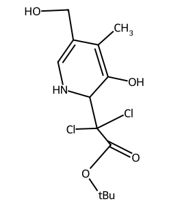 CC1=C(O)C(C(Cl)(Cl)C(=O)OC(C)(C)C)NC=C1CO